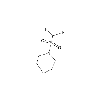 O=S(=O)(C(F)F)N1CCCCC1